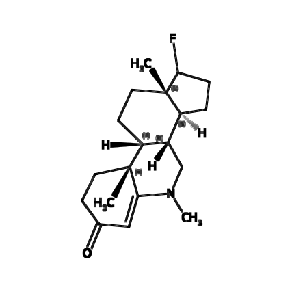 CN1C[C@@H]2[C@@H](CC[C@]3(C)C(F)CC[C@@H]23)[C@@]2(C)CCC(=O)C=C12